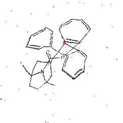 CC(C)(C)OC(=O)N1C2(C)CCC1(C)CN(C(c1ccccc1)(c1ccccc1)c1ccccc1)C2